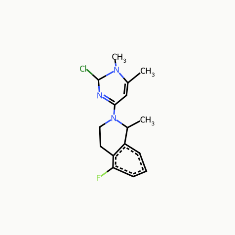 CC1=CC(N2CCc3c(F)cccc3C2C)=NC(Cl)N1C